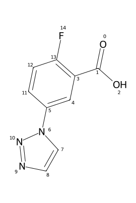 O=C(O)c1cc(-n2ccnn2)ccc1F